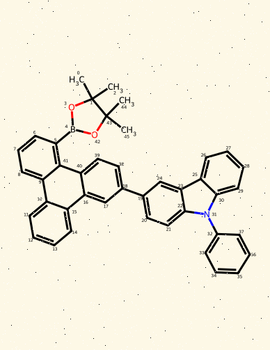 CC1(C)OB(c2cccc3c4ccccc4c4cc(-c5ccc6c(c5)c5ccccc5n6-c5ccccc5)ccc4c23)OC1(C)C